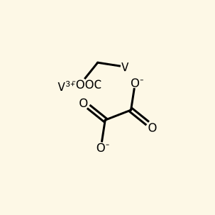 O=C([O-])C(=O)[O-].O=C([O-])[CH2][V].[V+3]